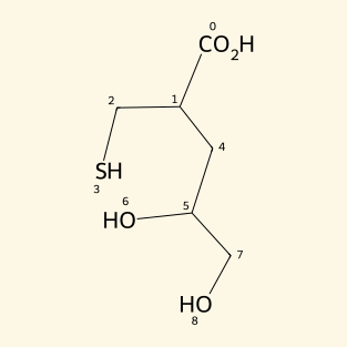 O=C(O)C(CS)CC(O)CO